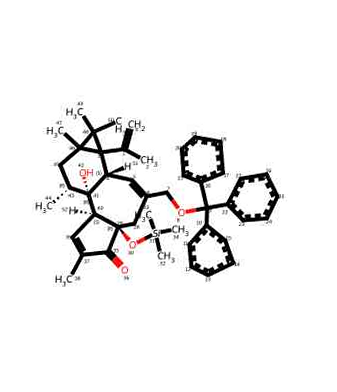 C=C(C)C12[C@@H]3C=C(COC(c4ccccc4)(c4ccccc4)c4ccccc4)C[C@]4(O[Si](C)(C)C)C(=O)C(C)=C[C@H]4[C@@]3(O)[C@H](C)CC1(C)C2(C)C